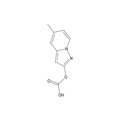 Cc1ccn2nc(OC(=O)O)cc2c1